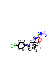 CN(C[C@]1(C)COC(N)=N1)c1ccc(Cl)cc1